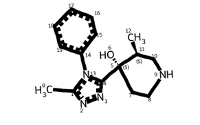 Cc1nnc([C@]2(O)CCNC[C@@H]2C)n1-c1ccccc1